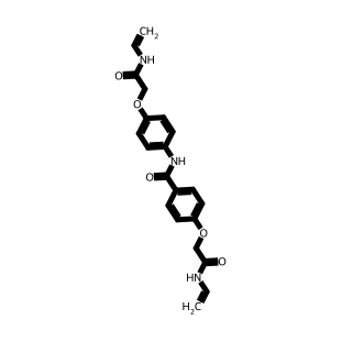 C=CNC(=O)COc1ccc(NC(=O)c2ccc(OCC(=O)NC=C)cc2)cc1